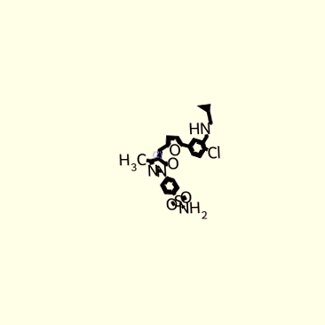 CC1=NN(c2ccc(S(N)(=O)=O)cc2)C(=O)/C1=C\c1ccc(-c2ccc(Cl)c(CNCC3CC3)c2)o1